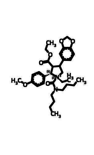 CCCCN(CCCC)C(=O)[N@@+]1(CC)CC(c2ccc3c(c2)OCO3)C(C(=O)OCC)[C@H]1c1ccc(OC)cc1